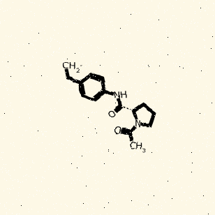 [CH2]Cc1ccc(NC(=O)[C@@H]2CCCN2C(C)=O)cc1